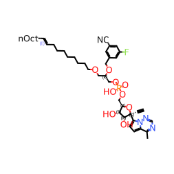 C#C[C@@]1(c2ccc3c(C)ncnn23)O[C@H](COP(=O)(O)OC[C@@H](COCCCCCCCC/C=C/CCCCCCCC)OCc2cc(F)cc(C#N)c2)[C@@H](O)[C@H]1O